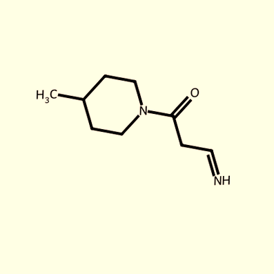 CC1CCN(C(=O)CC=N)CC1